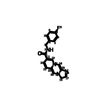 O=C(NCc1ccc(F)cc1)C1=CN2C=C3N=CCN3C=C2C=C1